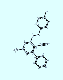 Cc1ccc(COc2nc(N)nc(-c3ccccn3)c2C#N)nc1